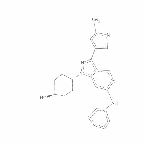 Cn1cc(-c2nn([C@H]3CC[C@H](O)CC3)c3cc(Nc4ccccc4)ncc23)cn1